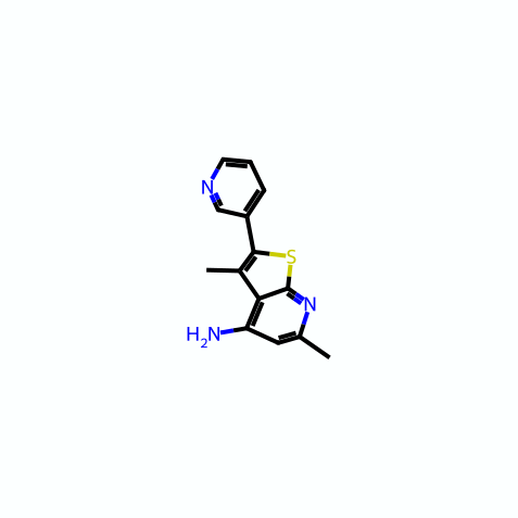 Cc1cc(N)c2c(C)c(-c3cccnc3)sc2n1